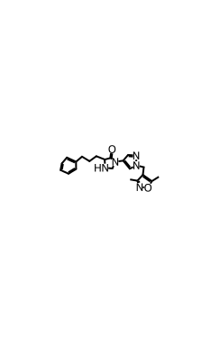 Cc1noc(C)c1Cn1cc(N2CNC(CCCc3ccccc3)C2=O)cn1